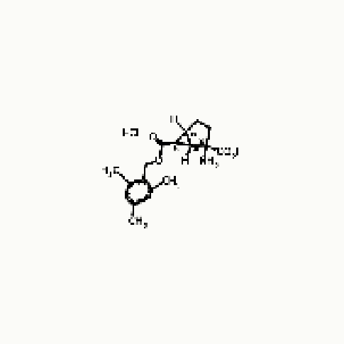 Cc1cc(C)c(COC(=O)[C@H]2[C@@H]3CC[C@@](N)(C(=O)O)[C@@H]32)c(C)c1.Cl